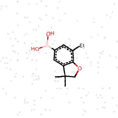 CCc1cc(B(O)O)cc2c1OCC2(C)C